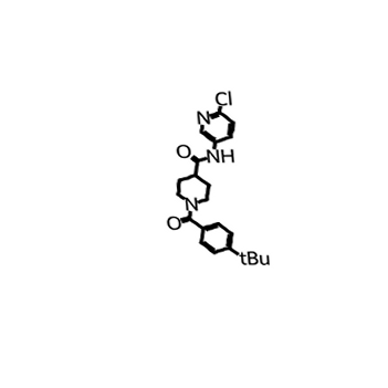 CC(C)(C)c1ccc(C(=O)N2CCC(C(=O)Nc3ccc(Cl)nc3)CC2)cc1